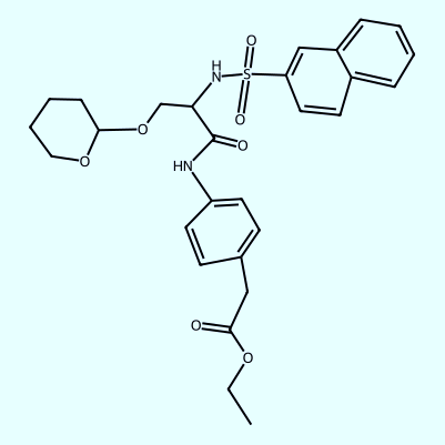 CCOC(=O)Cc1ccc(NC(=O)C(COC2CCCCO2)NS(=O)(=O)c2ccc3ccccc3c2)cc1